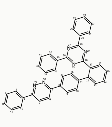 c1ccc(-c2ccc(-c3ccc(-c4ccccc4-c4nc(-c5ccccc5)nc(-c5ccccc5)n4)cc3)nn2)cc1